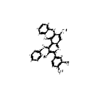 Oc1ccc(-c2[o+]c3cc(O)c(Oc4ccccc4)c(O)c3c(Oc3ccccc3)c2O)cc1O